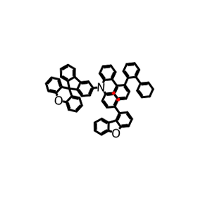 C1=CC(c2ccccc2-c2ccccc2-c2ccccc2N(c2ccc(-c3cccc4oc5ccccc5c34)cc2)c2ccc3c(c2)-c2ccccc2C32c3ccccc3Oc3ccccc32)=CCC1